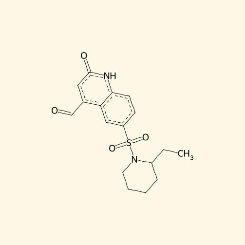 CCC1CCCCN1S(=O)(=O)c1ccc2[nH]c(=O)cc(C=O)c2c1